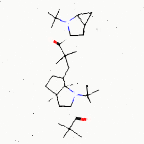 CC(C)(C)C(=O)[C@@H]1C[C@@H]2CCC(CC(C)(C)C(=O)[C@@H]3C[C@@H]4C[C@@H]4N3C(C)(C)C)[C@@H]2N1C(C)(C)C